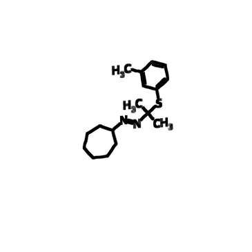 Cc1cccc(SC(C)(C)N=NC2CCCCCC2)c1